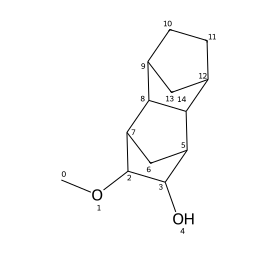 COC1C(O)C2CC1C1C3CCC(C3)C21